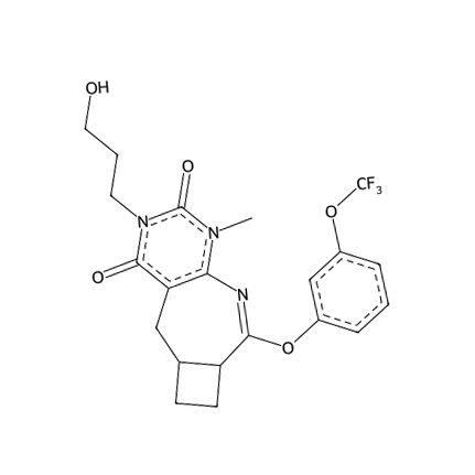 Cn1c2c(c(=O)n(CCCO)c1=O)CC1CCC1C(Oc1cccc(OC(F)(F)F)c1)=N2